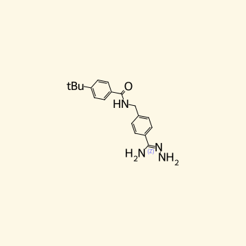 CC(C)(C)c1ccc(C(=O)NCc2ccc(/C(N)=N/N)cc2)cc1